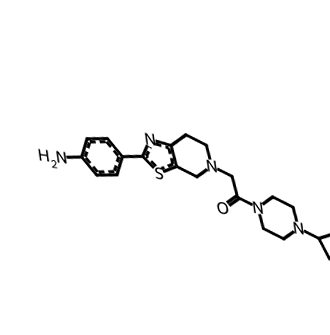 Nc1ccc(-c2nc3c(s2)CN(CC(=O)N2CCN(C4CCC4)CC2)CC3)cc1